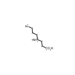 CC(=O)CCCCCCC(=O)O.N